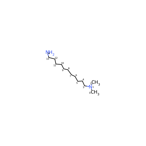 CN(C)CCCCCCCCCCCN